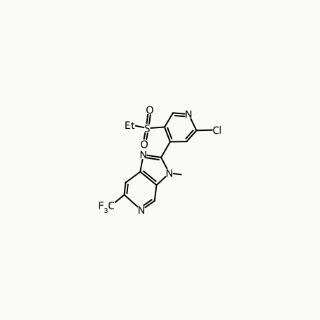 CCS(=O)(=O)c1cnc(Cl)cc1-c1nc2cc(C(F)(F)F)ncc2n1C